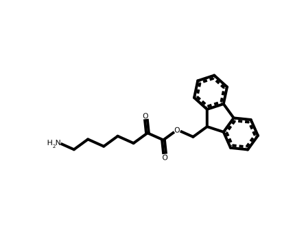 NCCCCCC(=O)C(=O)OCC1c2ccccc2-c2ccccc21